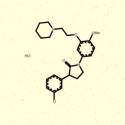 COc1ccc(N2CCC(c3cccc(Cl)c3)C2=O)cc1OCCN1CCCCC1.Cl